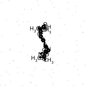 CCOc1cc([C@@H](CC#N)N2C(=O)c3ccnc(N4CCN(CCC5CCN(c6ccc(Oc7cc8c(cc7F)c([C@@]7(C)CCC(=O)NC7=O)nn8C)cc6)CC5)CC4)c3C2=O)ccc1OC